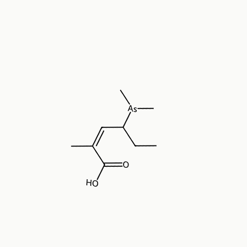 CCC(C=C(C)C(=O)O)[As](C)C